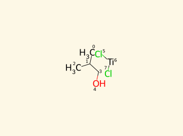 CC(C)CO.[Cl][Ti][Cl]